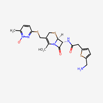 Cc1ccc(SCC2=C(C(=O)O)N3C(=O)[C@@H](NC(=O)Cc4ccc(CN)s4)[C@@H]3SC2)n[n+]1[O-]